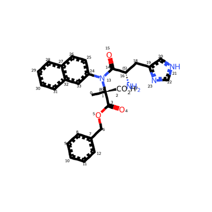 C[C@@](C(=O)O)(C(=O)OCc1ccccc1)N(C(=O)[C@@H](N)Cc1c[nH]cn1)c1ccc2ccccc2c1